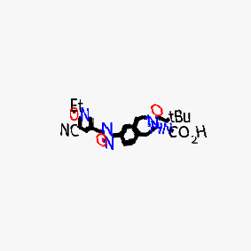 CCOc1ncc(-c2nc(-c3ccc4c(c3)CCN(C(=O)C(NC(=O)O)C(C)(C)C)CC4)no2)cc1C#N